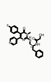 Cn1c(NC[C@H](Cc2ccccc2)NC(=O)CO)nc(-c2ccncc2)c(-c2ccc(F)cc2)c1=O